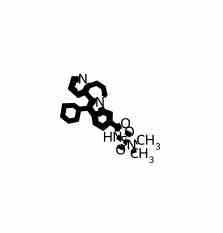 CN(C)S(=O)(=O)NC(=O)c1ccc2c(C3CCCCC3)c3n(c2c1)CCCc1ncccc1-3